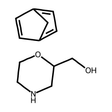 C1=CC2=CC=C1C2.OCC1CNCCO1